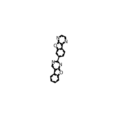 c1ccc2c(c1)oc1nc(-c3ccc4c(c3)oc3nccnc34)ncc12